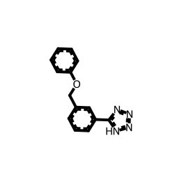 c1ccc(OCc2cccc(-c3nnn[nH]3)c2)cc1